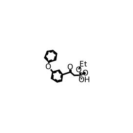 CCOP(=O)(O)CC(=O)c1cccc(Oc2ccccc2)c1